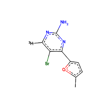 [2H]c1nc(N)nc(-c2ccc(C)o2)c1Br